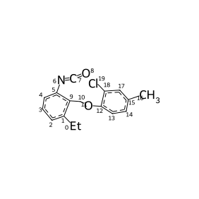 CCc1cccc(N=C=O)c1COc1ccc(C)cc1Cl